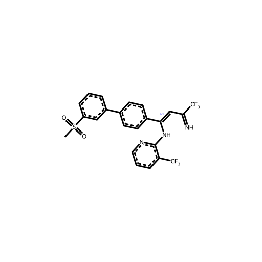 CS(=O)(=O)c1cccc(-c2ccc(/C(=C/C(=N)C(F)(F)F)Nc3ncccc3C(F)(F)F)cc2)c1